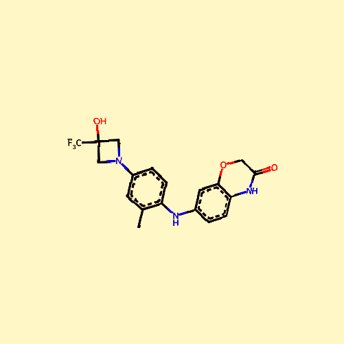 Cc1cc(N2CC(O)(C(F)(F)F)C2)ccc1Nc1ccc2c(c1)OCC(=O)N2